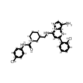 Bc1cnn2c(NCC3CCCN(C(=O)Nc4ccc(Cl)cc4)C3)cc(-c3ccccc3Cl)nc12